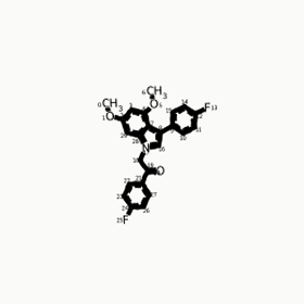 COc1cc(OC)c2c(-c3ccc(F)cc3)cn(CC(=O)c3ccc(F)cc3)c2c1